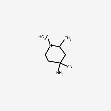 CC1CC(N)(C#N)CCN1C(=O)O